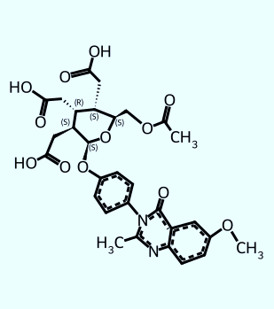 COc1ccc2nc(C)n(-c3ccc(O[C@@H]4O[C@H](COC(C)=O)[C@@H](CC(=O)O)[C@@H](CC(=O)O)[C@@H]4CC(=O)O)cc3)c(=O)c2c1